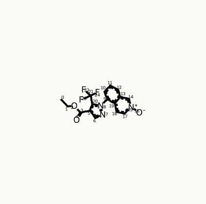 CCOC(=O)c1cnn(-c2cccc3c[n+]([O-])ccc23)c1C(F)(F)F